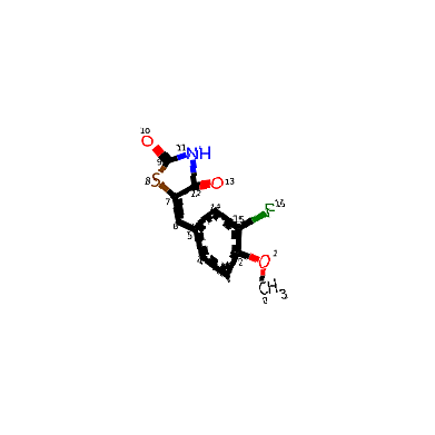 COc1ccc(C=C2SC(=O)NC2=O)cc1F